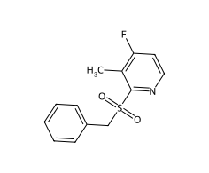 Cc1c(F)ccnc1S(=O)(=O)Cc1ccccc1